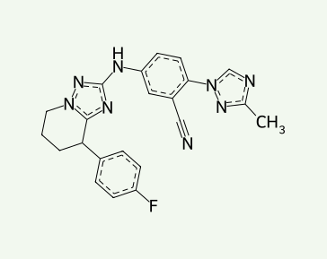 Cc1ncn(-c2ccc(Nc3nc4n(n3)CCCC4c3ccc(F)cc3)cc2C#N)n1